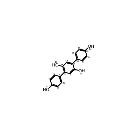 Oc1ccc(-c2cc(O)c(-c3ccc(O)cc3)cc2O)cc1